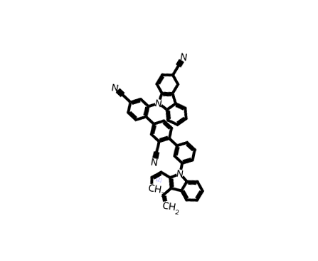 C=Cc1c(/C=C\C)n(-c2cccc(-c3ccc(-c4ccc(C#N)cc4-n4c5c(c6ccccc64)CC(C#N)C=C5)cc3C#N)c2)c2ccccc12